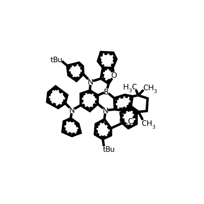 CC(C)(C)c1ccc(N2c3cc(N(c4ccccc4)c4ccccc4)cc4c3B(c3cc5c(cc3N4c3ccc(C(C)(C)C)cc3-c3ccccc3)C(C)(C)CCC5(C)C)c3oc4ccccc4c32)cc1